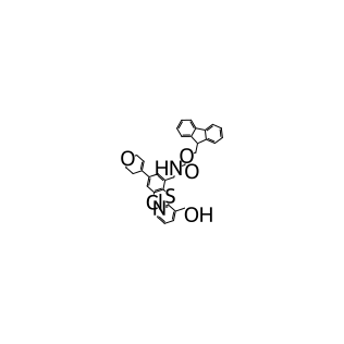 O=C(NCc1cc(C2=CCOCC2)cc(Cl)c1Sc1ncccc1CO)OCC1c2ccccc2-c2ccccc21